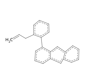 C=CCc1ccccc1-c1cccc2cc3ccccc3cc12